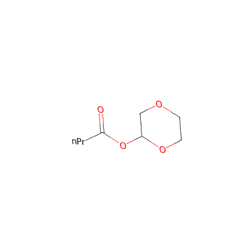 CCCC(=O)OC1COCCO1